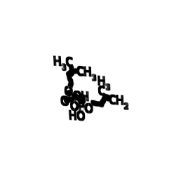 C=C(C)CCOP(=O)(O)OP(=O)(O)OCC=C(C)C